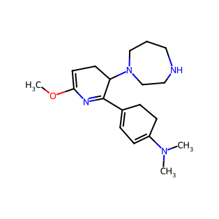 COC1=CCC(N2CCCNCC2)C(C2=CC=C(N(C)C)CC2)=N1